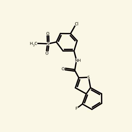 CS(=O)(=O)c1cc(Cl)cc(NC(=O)c2cc3c(F)cccc3s2)c1